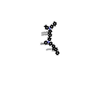 CCCCCCC1(CCCCCC)c2cc(-c3ccccc3)ccc2-c2ccc(-c3ccc(N(c4ccc(-c5ccc6c(c5)C(CCCCCC)(CCCCCC)c5cc(N(c7ccc(-c8ccccc8)cc7)c7ccc8c(c7)CC8)ccc5-6)cc4)c4ccc(C(C)CC)cc4)cc3)cc21